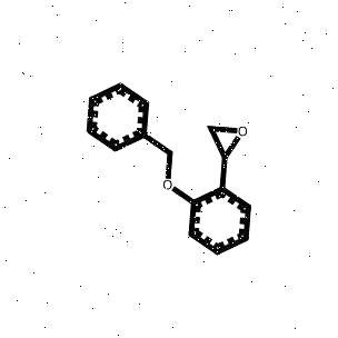 c1ccc(COc2ccccc2C2CO2)cc1